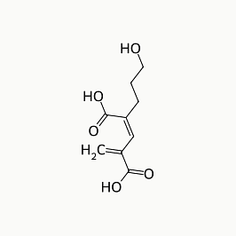 C=C(C=C(CCCO)C(=O)O)C(=O)O